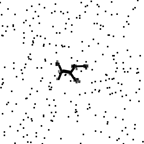 CC[N+](C)=C(N)NS